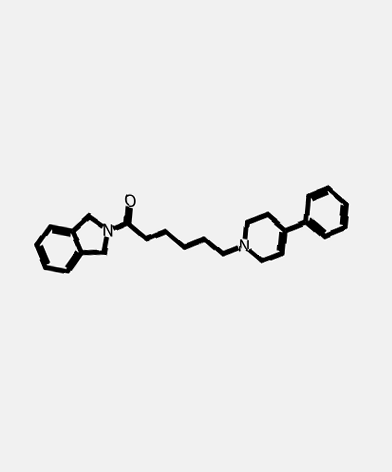 O=C(CCCCCN1CC=C(c2ccccc2)CC1)N1Cc2ccccc2C1